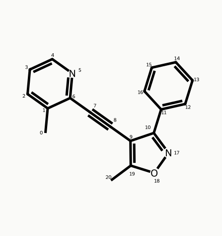 Cc1cccnc1C#Cc1c(-c2ccccc2)noc1C